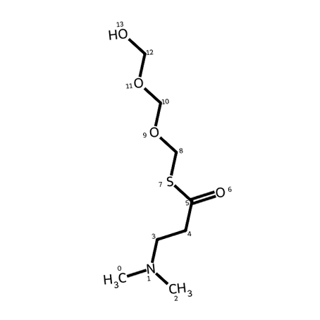 CN(C)CCC(=O)SCOCOCO